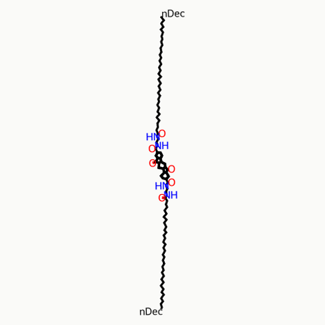 CCCCCCCCCCCCCCCCCCCCCCCCCCCCCCCCCCCCCCCCCCCCCCCC(=O)NCCNC(=O)c1ccc2c(c1)c(=O)c1cc3c(cc12)c(=O)c1cc(C(=O)NCCNC(=O)CCCCCCCCCCCCCCCCCCCCCCCCCCCCCCCCCCCCCCCCCCCCC)ccc13